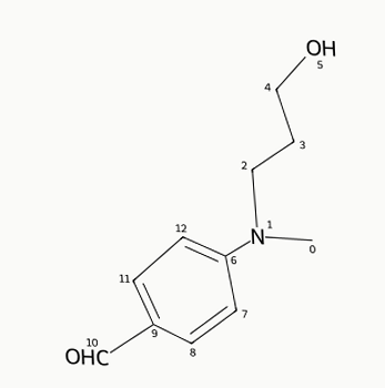 CN(CCCO)c1ccc(C=O)cc1